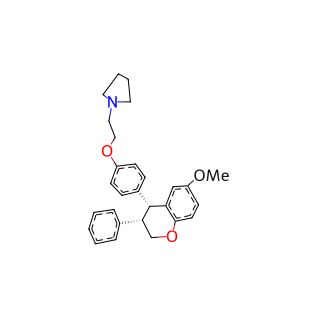 COc1ccc2c(c1)[C@@H](c1ccc(OCCN3CCCC3)cc1)[C@@H](c1ccccc1)CO2